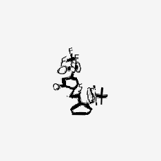 CC(C)(C)[Si](C)(C)Oc1ccccc1-c1[c]c2c(s1)C=C(S(=O)(=O)C(F)(F)F)CC2=O